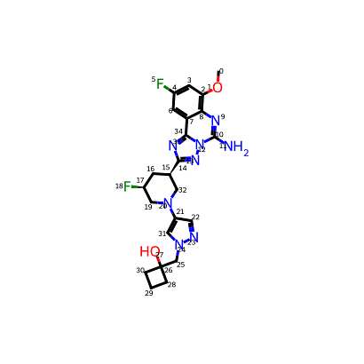 COc1cc(F)cc2c1nc(N)n1nc([C@@H]3C[C@H](F)CN(c4cnn(CC5(O)CCC5)c4)C3)nc21